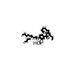 CCCCc1cc2ccccn2c1C(=O)c1ccc(OCCCN(CCCC)CCCC)c(Cl)c1.Cl